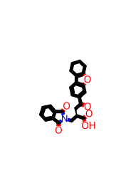 O=C(C[C@H](CN1C(=O)c2ccccc2C1=O)C(=O)O)c1ccc2c3c(oc2c1)CCCC3